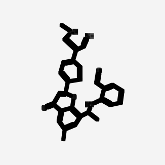 CN/C=C(\C=N)c1ccc(-c2cc(=O)c3cc(C)cc(C(C)Nc4ccccc4C=O)c3o2)cc1